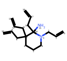 C=CCN1CCCC(CC=C)(CC=C)C1(N)CC=C